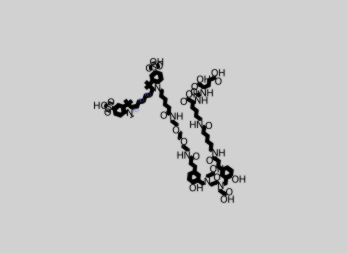 CN1/C(=C/C=C/C=C/C2N(CCCCCC(=O)NCCOCCOCCNC(=O)CCc3ccc(O)c(CN(CCN(CC(=O)O)Cc4cc(CCC(=O)NCCCCCC(=O)NCCCCC(NC(=O)NC(CCC(=O)O)C(=O)O)C(=O)O)ccc4O)CC(=O)O)c3)c3ccc(S(=O)(=O)O)cc3C2(C)C)C(C)(C)c2cc(S(=O)(=O)O)ccc21